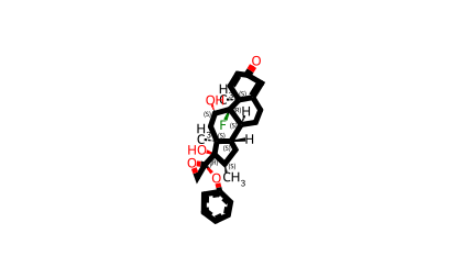 C[C@H]1C[C@H]2[C@@H]3CCC4=CC(=O)C=C[C@]4(C)[C@@]3(F)[C@@H](O)C[C@]2(C)[C@@]1(O)[C@]1(Oc2ccccc2)CO1